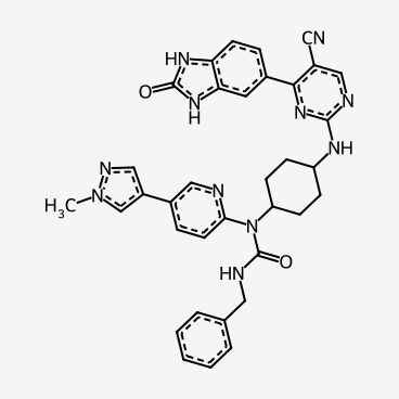 Cn1cc(-c2ccc(N(C(=O)NCc3ccccc3)C3CCC(Nc4ncc(C#N)c(-c5ccc6[nH]c(=O)[nH]c6c5)n4)CC3)nc2)cn1